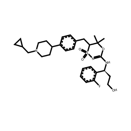 CC1(C)OC(N[C@@H](CCO)c2ccccc2F)=NS(=O)(=O)C1Cc1ccc(C2CCN(CC3CC3)CC2)cc1